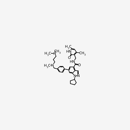 Cc1cc(C)c(CNC(=O)c2cc(-c3ccc(CN(C)CCCN(C)C)cc3)cc3c2cnn3C2CCCC2)c(=O)[nH]1